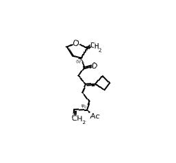 C=C[C@@H](CCC(CC(=O)[C@H]1CCOC1=C)=C1CCC1)C(C)=O